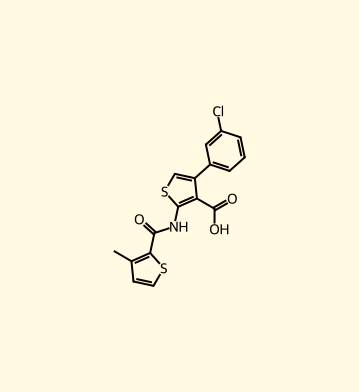 Cc1ccsc1C(=O)Nc1scc(-c2cccc(Cl)c2)c1C(=O)O